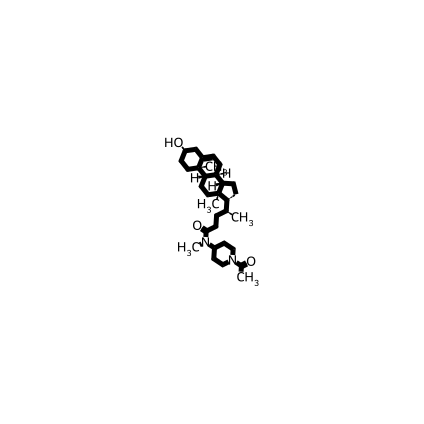 CC(=O)N1CCC(N(C)C(=O)CC[C@@H](C)[C@H]2CC[C@H]3[C@@H]4CC=C5C[C@@H](O)CC[C@]5(C)[C@H]4CC[C@]23C)CC1